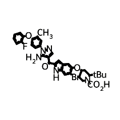 Cc1cc(-n2ncc(C(=O)c3cc4cc(OC5CCN(C(=O)O)C(C(C)(C)C)C5)c(Br)cc4[nH]3)c2N)ccc1Oc1ccccc1F